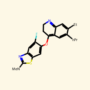 CCCc1cc2c(cc1CC)=NCCC=2Oc1cc2sc(NC)nc2cc1F